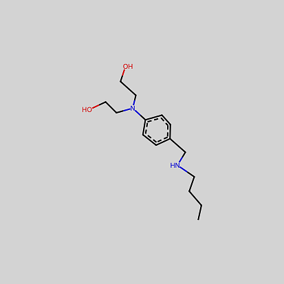 CCCCNCc1ccc(N(CCO)CCO)cc1